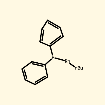 CCC[CH2][Rh][P](c1ccccc1)c1ccccc1